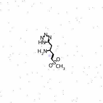 CS(=O)(=O)/C=C/C(N)Cc1nnn[nH]1